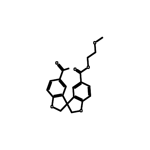 COCCOC(=O)c1ccc2c(c1)C1(COc3ccc(C(C)=O)cc31)CO2